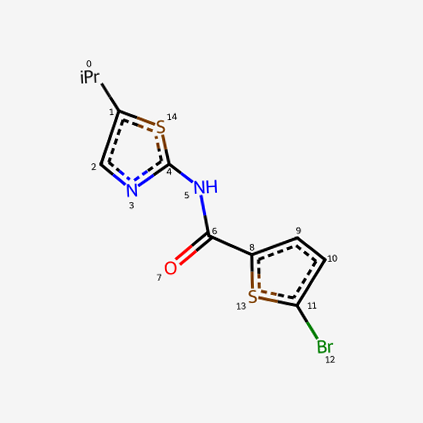 CC(C)c1cnc(NC(=O)c2ccc(Br)s2)s1